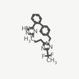 CCCc1nc(C(C)(F)F)nn1Cc1ccc(-c2ccccc2-c2nnn[nH]2)cc1